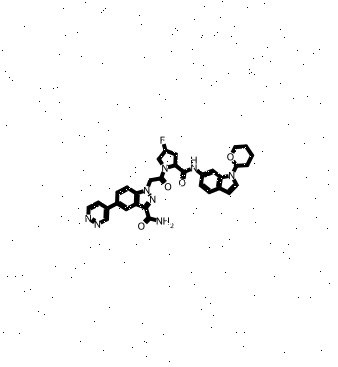 NC(=O)c1nn(CC(=O)N2CC(F)CC2C(=O)Nc2ccc3ccn(C4CCCCO4)c3c2)c2ccc(-c3ccnnc3)cc12